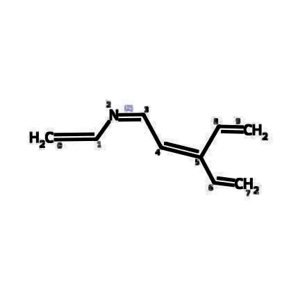 C=C/N=C\C=C(C=C)C=C